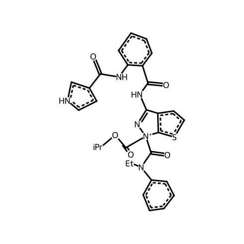 CCN(C(=O)[N+]1(C(=O)OC(C)C)N=C(NC(=O)c2ccccc2NC(=O)c2cc[nH]c2)c2ccsc21)c1ccccc1